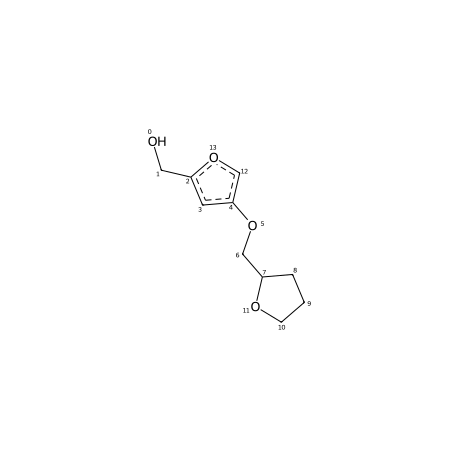 OCc1cc(OCC2CCCO2)co1